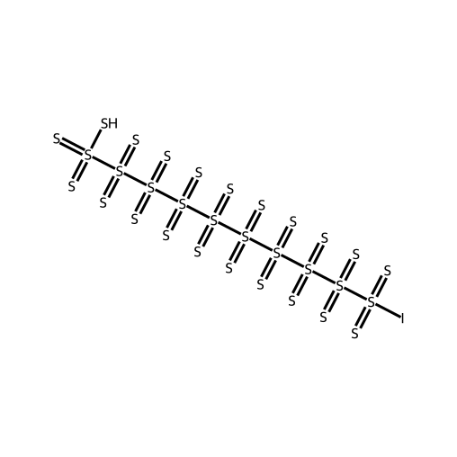 S=S(=S)(S)S(=S)(=S)S(=S)(=S)S(=S)(=S)S(=S)(=S)S(=S)(=S)S(=S)(=S)S(=S)(=S)S(=S)(=S)S(=S)(=S)I